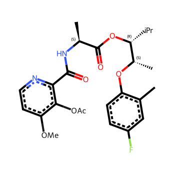 COc1ccnc(C(=O)N[C@@H](C)C(=O)O[C@H](C(C)C)[C@H](C)Oc2ccc(F)cc2C)c1OC(C)=O